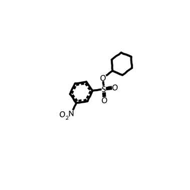 O=[N+]([O-])c1cccc(S(=O)(=O)OC2CCCCC2)c1